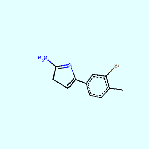 Cc1ccc(C2=CCC(N)=N2)cc1Br